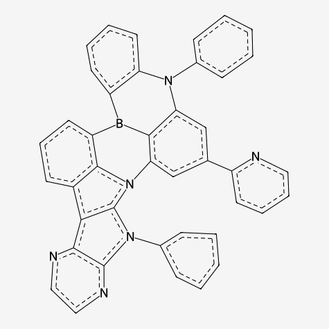 c1ccc(N2c3ccccc3B3c4c2cc(-c2ccccn2)cc4-n2c4c3cccc4c3c4nccnc4n(-c4ccccc4)c32)cc1